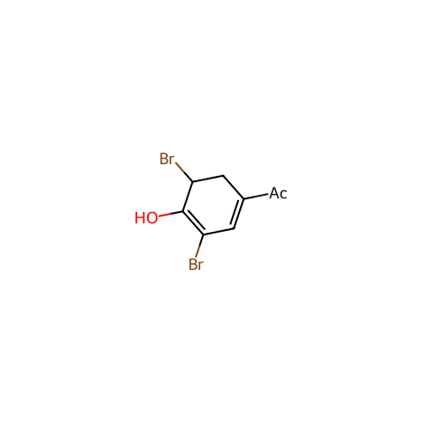 CC(=O)C1=CC(Br)=C(O)C(Br)C1